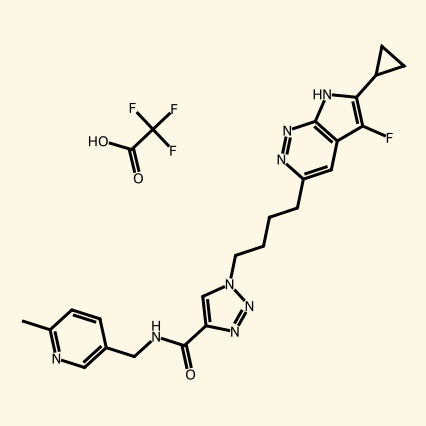 Cc1ccc(CNC(=O)c2cn(CCCCc3cc4c(F)c(C5CC5)[nH]c4nn3)nn2)cn1.O=C(O)C(F)(F)F